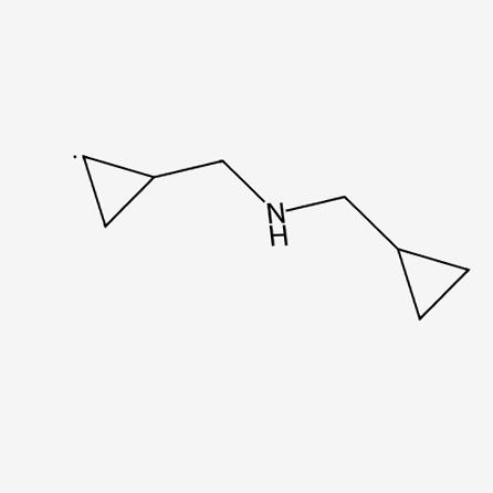 [CH]1CC1CNCC1CC1